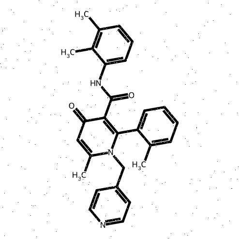 Cc1ccccc1-c1c(C(=O)Nc2cccc(C)c2C)c(=O)cc(C)n1Cc1ccncc1